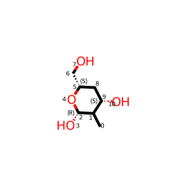 CC1[C@H](O)O[C@H](CO)C[C@@H]1O